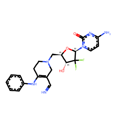 N=CC1=C(Nc2ccccc2)CCN(C[C@H]2O[C@@H](n3ccc(N)nc3=O)C(F)(F)[C@@H]2O)C1